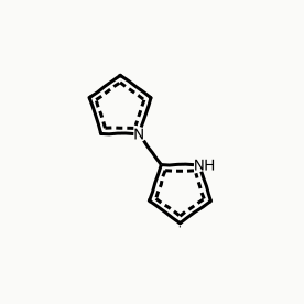 [c]1c[nH]c(-n2cccc2)c1